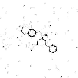 NC(=O)Cc1c(Cc2ccccc2)ncn1Cc1ccc2c(c1)NCCC2